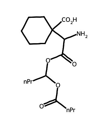 CCCC(=O)OC(CCC)OC(=O)C(N)C1(C(=O)O)CCCCC1